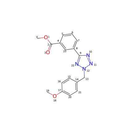 COC(=O)c1cccc(-c2nnn(Cc3ccc(OC)cc3)n2)c1